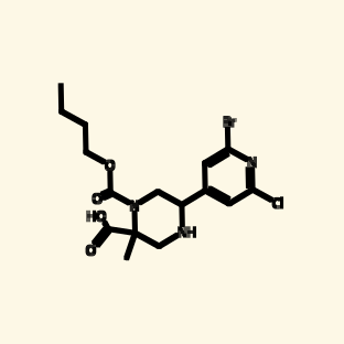 CCCCOC(=O)N1CC(c2cc(Cl)nc(Br)c2)NCC1(C)C(=O)O